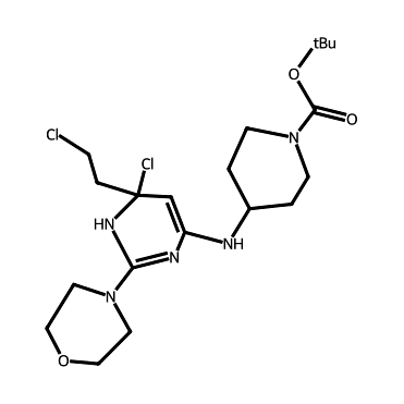 CC(C)(C)OC(=O)N1CCC(NC2=CC(Cl)(CCCl)NC(N3CCOCC3)=N2)CC1